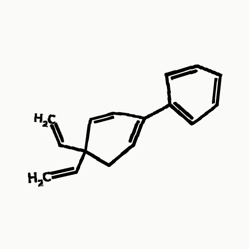 C=CC1(C=C)C=CC(c2ccccc2)=CC1